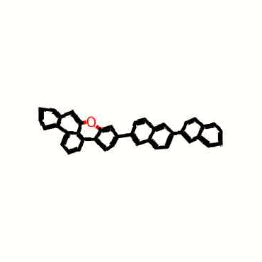 c1ccc2cc(-c3ccc4cc(-c5ccc6c(c5)Oc5cc7ccccc7c7cccc-6c57)ccc4c3)ccc2c1